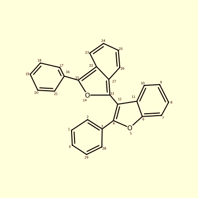 c1ccc(-c2oc3ccccc3c2-c2oc(-c3ccccc3)c3ccccc23)cc1